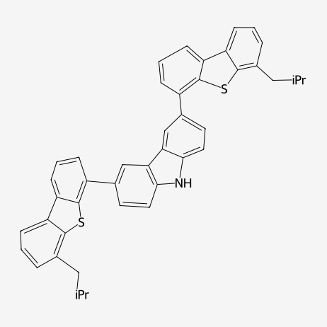 CC(C)Cc1cccc2c1sc1c(-c3ccc4[nH]c5ccc(-c6cccc7c6sc6c(CC(C)C)cccc67)cc5c4c3)cccc12